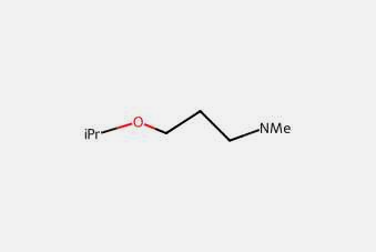 CNCCCOC(C)C